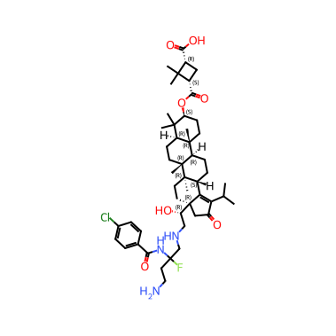 CC(C)C1=C2[C@H]3CC[C@@H]4[C@@]5(C)CC[C@H](OC(=O)[C@H]6C[C@@H](C(=O)O)C6(C)C)C(C)(C)[C@@H]5CC[C@@]4(C)[C@]3(C)CC[C@@]2([C@@H](O)CNCC(F)(CCN)NC(=O)c2ccc(Cl)cc2)CC1=O